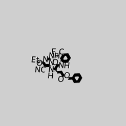 CCOc1nc(N)nc(N[C@@H](CCC(=O)OCc2ccccc2)C(=O)Nc2cccc(C(F)(F)F)c2)c1C#N